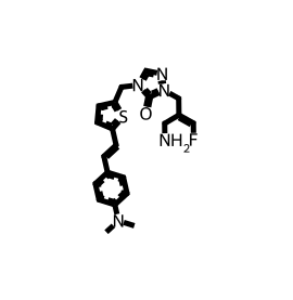 CN(C)c1ccc(C=Cc2ccc(Cn3cnn(C/C(=C/F)CN)c3=O)s2)cc1